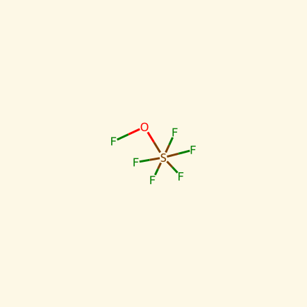 FOS(F)(F)(F)(F)F